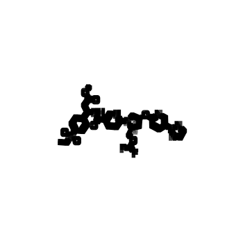 CCS(=O)(=O)c1ccc(C(CC(=O)OC)NC(=O)c2ccc(N3C[C@@H](Oc4ccc(-n5nccn5)cn4)C[C@H]3COC(F)F)nc2)cc1